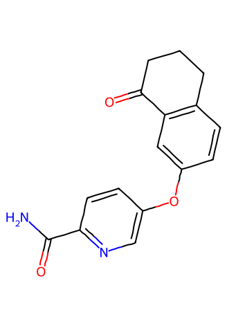 NC(=O)c1ccc(Oc2ccc3c(c2)C(=O)CCC3)cn1